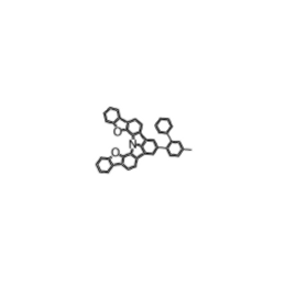 Cc1ccc(-c2cc3c4ccc5c6ccccc6oc5c4n4c3c(c2)c2ccc3c5ccccc5oc3c24)c(-c2ccccc2)c1